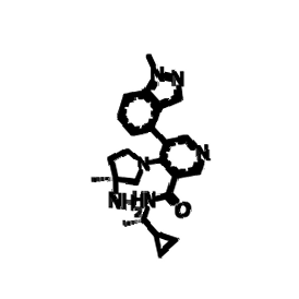 C[C@H](NC(=O)c1cncc(-c2cccc3c2cnn3C)c1N1CC[C@](C)(N)C1)C1CC1